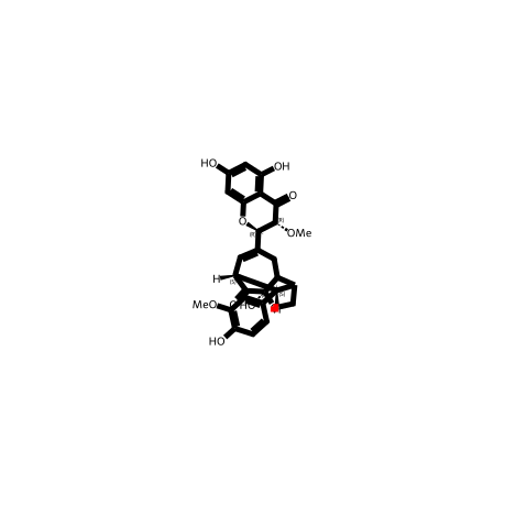 COc1cc([C@H]2C3CO[C@@]4(O)C(=O)[C@@H]2C=C([C@H]2Oc5cc(O)cc(O)c5C(=O)[C@@H]2OC)CC34)ccc1O